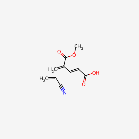 C=C(C=CC(=O)O)C(=O)OC.C=CC#N